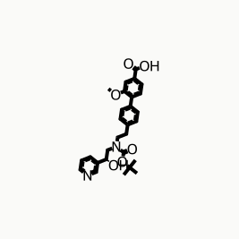 COc1cc(C(=O)O)ccc1-c1ccc(CCN(C[C@H](O)c2cccnc2)C(=O)OC(C)(C)C)cc1